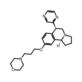 c1cnc([C@H]2CN3CCC[C@H]3c3cc(OCCCN4CCOCC4)ccc32)cn1